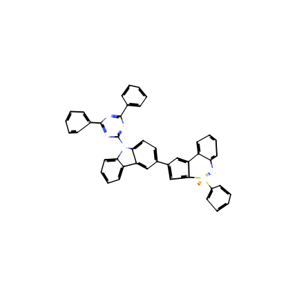 O=S1(c2ccccc2)=Nc2ccccc2-c2cc(-c3ccc4c(c3)c3ccccc3n4-c3nc(-c4ccccc4)nc(-c4ccccc4)n3)ccc21